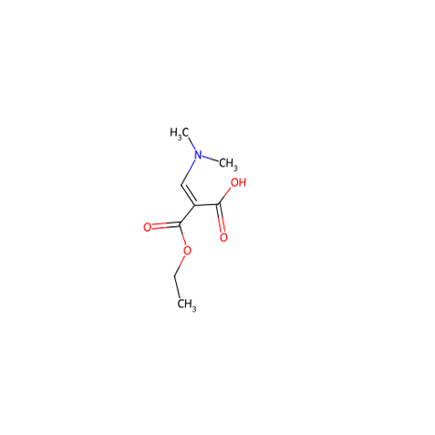 CCOC(=O)C(=CN(C)C)C(=O)O